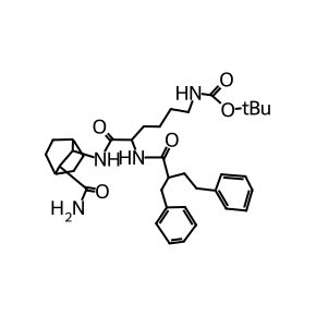 CC(C)(C)OC(=O)NCCCCC(NC(=O)C(CCc1ccccc1)Cc1ccccc1)C(=O)NC1C2CCC(CC2)C1C(N)=O